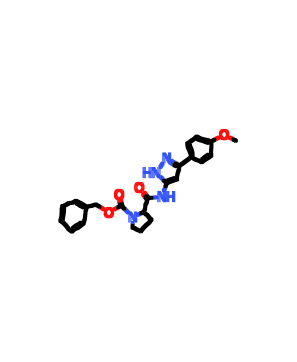 COc1ccc(-c2cc(NC(=O)C3CCCN3C(=O)OCc3ccccc3)[nH]n2)cc1